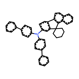 c1ccc(-c2ccc(N(c3ccc(-c4ccccc4)cc3)c3ccc4c(c3)C3(CCCCC3)c3c-4ccc4ccccc34)cc2)cc1